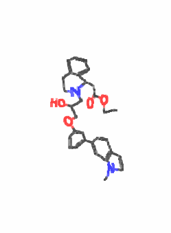 CCOC(=O)CC1c2ccccc2CCN1CC(O)COc1cccc(-c2ccc3ccn(C)c3c2)c1